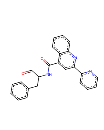 O=CC(Cc1ccccc1)NC(=O)c1cc(-c2ccccn2)nc2ccccc12